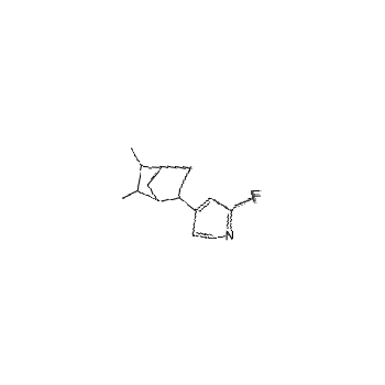 CC1C2CC(c3ccnc(F)c3)C(C2)C1C